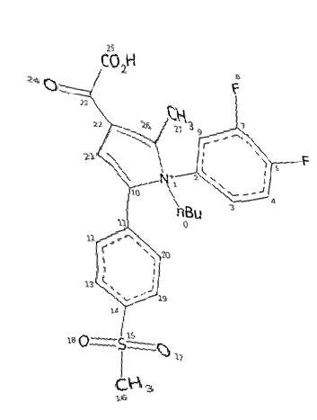 CCCC[N+]1(c2ccc(F)c(F)c2)C(c2ccc(S(C)(=O)=O)cc2)=CC(C(=O)C(=O)O)=C1C